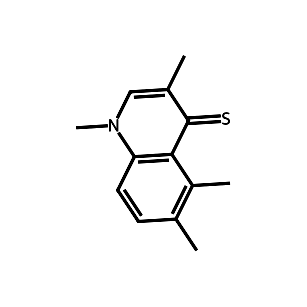 Cc1ccc2c(c1C)c(=S)c(C)cn2C